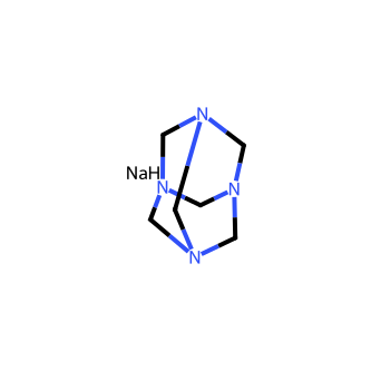 C1N2CN3CN1CN(C2)C3.[NaH]